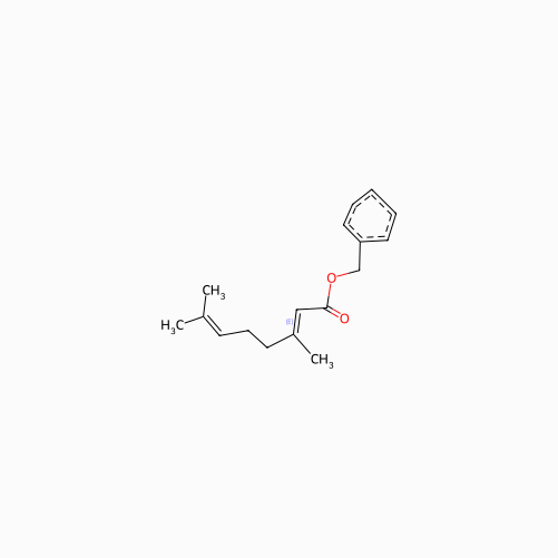 CC(C)=CCC/C(C)=C/C(=O)OCc1ccccc1